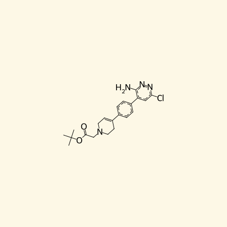 CC(C)(C)OC(=O)CN1CC=C(c2ccc(-c3cc(Cl)nnc3N)cc2)CC1